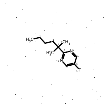 CCCCC(C)(C)c1ncc(F)cn1